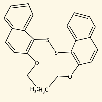 CCOc1ccc2ccccc2c1SSc1c(OCC)ccc2ccccc12